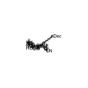 CCCCCCCCCCCCCCCCCCOC[C@H](COP(=O)(O)OC[C@H]1O[C@@](C#N)(c2ccc3c(C)ncnn23)[C@H](O)[C@@H]1O)OCc1ccc(C#N)cc1F